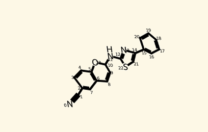 N#Cc1ccc2c(c1)C=CC(Nc1nc(-c3ccccc3)cs1)O2